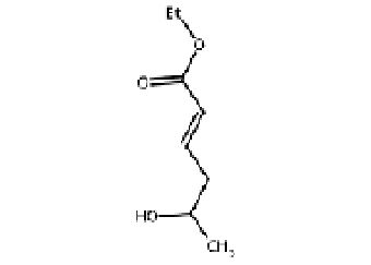 CCOC(=O)/C=C/CC(C)O